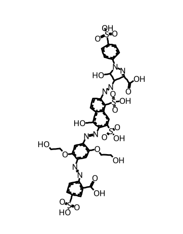 O=C(O)C1=NN(c2ccc(S(=O)(=O)O)cc2)C(O)C1N=Nc1ccc2c(O)c(N=Nc3cc(OCCO)c(N=Nc4ccc(S(=O)(=O)O)cc4C(=O)O)cc3OCCO)c(S(=O)(=O)O)cc2c1S(=O)(=O)O